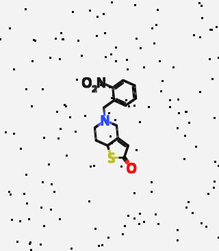 O=C1C=C2CN(Cc3ccccc3[N+](=O)[O-])CCC2S1